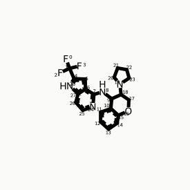 FC(F)(F)c1cc2c(NC3c4ccccc4OCC3N3CCCC3)nccc2[nH]1